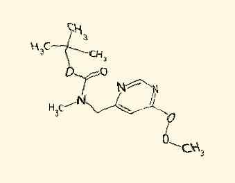 COOc1cc(CN(C)C(=O)OC(C)(C)C)ncn1